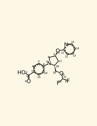 O=C(O)c1ccc(N2C[C@@H](Oc3ccccn3)C[C@H]2COC(F)F)cc1